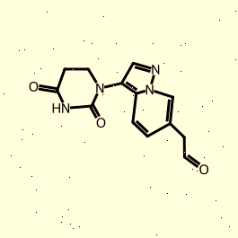 O=CCc1ccc2c(N3CCC(=O)NC3=O)cnn2c1